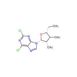 CC(=O)OC[C@H]1O[C@@H](n2cnc3c(Cl)nc(Cl)nc32)[C@@H](OC(C)=O)C1OC(C)=O